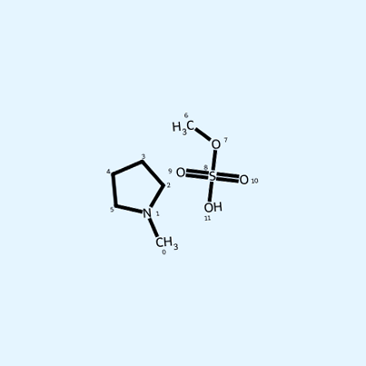 CN1CCCC1.COS(=O)(=O)O